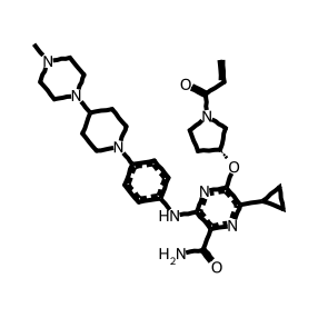 C=CC(=O)N1CC[C@@H](Oc2nc(Nc3ccc(N4CCC(N5CCN(C)CC5)CC4)cc3)c(C(N)=O)nc2C2CC2)C1